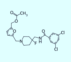 CC(=O)OCc1ccc(CN2CCC(F)(CNC(=O)c3cc(Cl)cc(Cl)c3)CC2)o1